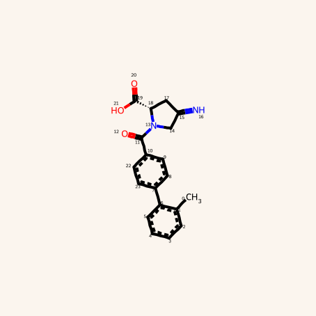 Cc1ccccc1-c1ccc(C(=O)N2CC(=N)C[C@H]2C(=O)O)cc1